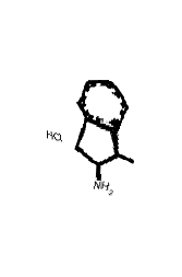 CC1c2ccccc2CC1N.Cl